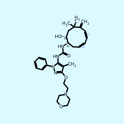 C=C1/C=C\C=C/C[C@@H](NC(=O)Nc2c(C)c(OCCN3CCOCC3)nn2-c2ccccc2)[C@H](O)CC1(C)C